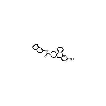 CNc1ncc2c(n1)-c1ccccc1C1(CCN(C(=O)Nc3ccc4ccccc4c3)CC1)C2